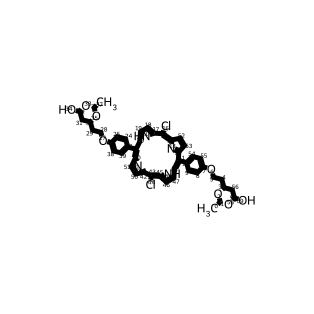 CCOC(CCOc1ccc(-c2c3nc(c(Cl)c4ccc([nH]4)c(-c4ccc(OCCC(CC(=O)O)OCC)cc4)c4nc(c(Cl)c5ccc2[nH]5)C=C4)C=C3)cc1)CC(=O)O